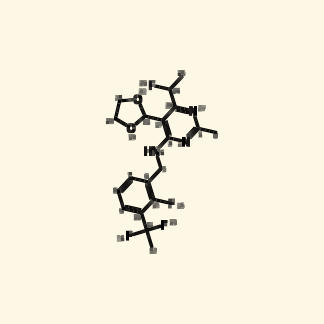 Cc1nc(NCc2cccc(C(C)(F)F)c2F)c(C2OCCO2)c(C(C)F)n1